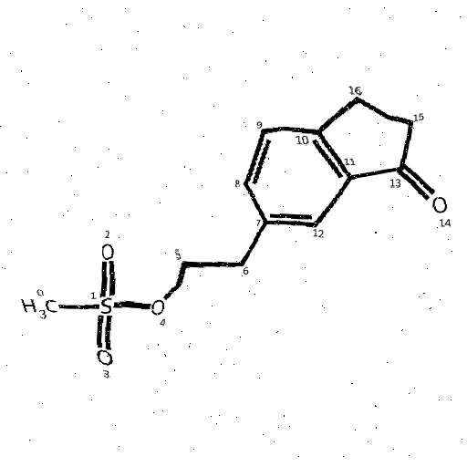 CS(=O)(=O)OCCc1ccc2c(c1)C(=O)CC2